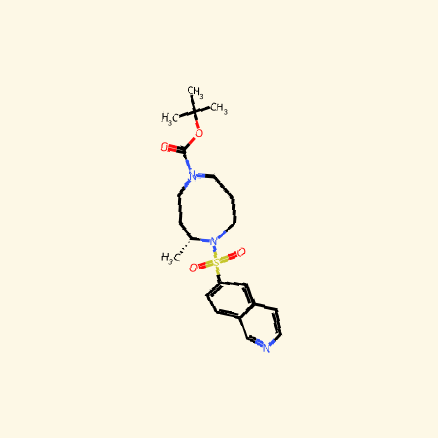 C[C@@H]1CCN(C(=O)OC(C)(C)C)CCCN1S(=O)(=O)c1ccc2cnccc2c1